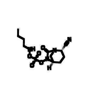 CCCCNOS(=O)(=O)ON1C(=O)N2C[C@H]1CC[C@H]2C#N